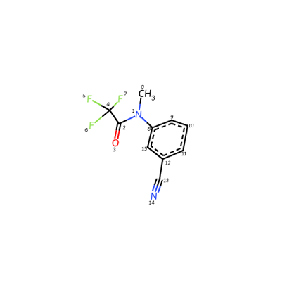 CN(C(=O)C(F)(F)F)c1cccc(C#N)c1